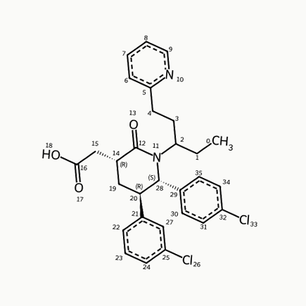 CCC(CCc1ccccn1)N1C(=O)[C@@H](CC(=O)O)C[C@H](c2cccc(Cl)c2)[C@H]1c1ccc(Cl)cc1